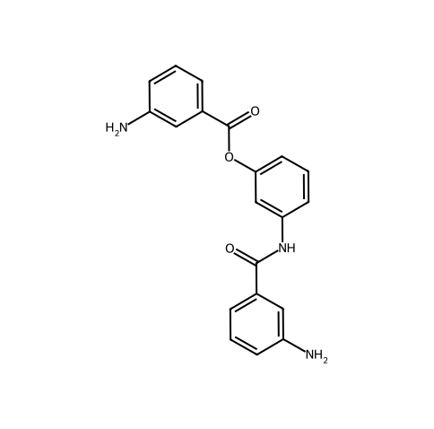 Nc1cccc(C(=O)Nc2cccc(OC(=O)c3cccc(N)c3)c2)c1